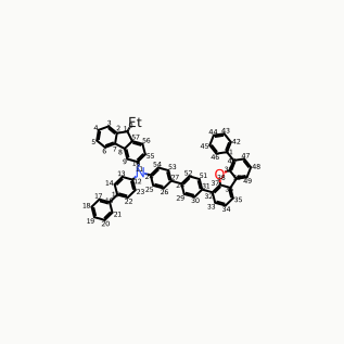 CCC1c2ccccc2-c2cc(N(c3ccc(-c4ccccc4)cc3)c3ccc(-c4ccc(-c5cccc6c5oc5c(-c7ccccc7)cccc56)cc4)cc3)ccc21